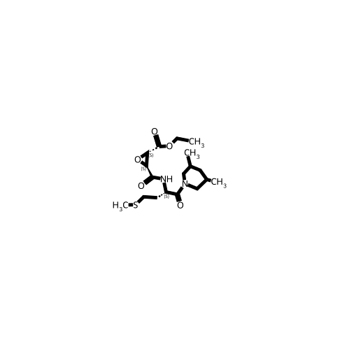 CCOC(=O)[C@H]1O[C@@H]1C(=O)N[C@@H](CCSC)C(=O)N1CC(C)CC(C)C1